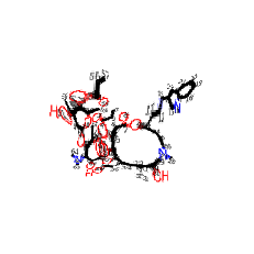 CCC(=O)O[C@@H]1CC(=O)O[C@@H](C/C=C/c2cnc3ccccc3c2)CCCN(C)C[C@H](O)[C@H](C)C[C@H](CC=O)[C@H](O[C@@H]2OC(C)[C@@H](O[C@H]3CC(C)(O)[C@@H](OC(=O)CC)C(C)O3)C(N(C)C)C2O)[C@H]1OC